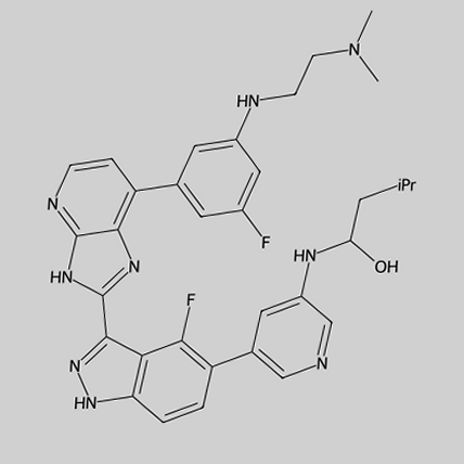 CC(C)CC(O)Nc1cncc(-c2ccc3[nH]nc(-c4nc5c(-c6cc(F)cc(NCCN(C)C)c6)ccnc5[nH]4)c3c2F)c1